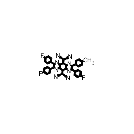 Cc1ccc(-c2nc3c(nc2-c2ccc(F)cc2)C(C(C#N)C#N)c2nc(-c4ccc(F)cc4)c(-c4ccc(F)cc4)nc2C3=C(C#N)C#N)cc1